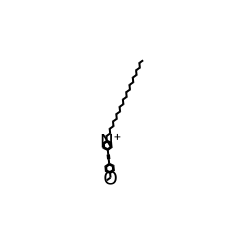 CCCCCCCCCCCCCCCCCCCCCC[n+]1ccc(C#Cc2ccc(OC)cc2)cc1